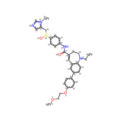 CCCOCCOc1ccc(-c2ccc3c(c2)C=C(C(=O)Nc2ccc([S+]([O-])Cc4cncn4CCC)cc2)CCN3CC(C)C)cc1